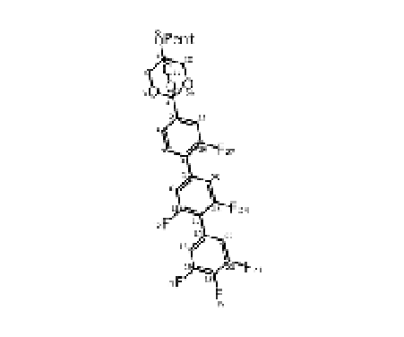 CCCCCC12COC(c3ccc(-c4cc(F)c(-c5cc(F)c(F)c(F)c5)c(F)c4)c(F)c3)(OC1)OC2